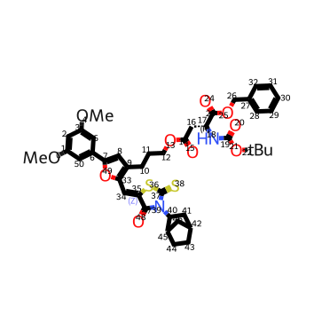 COc1cc(OC)cc(-c2cc(CCCOC(=O)C[C@@H](NC(=O)OC(C)(C)C)C(=O)OCc3ccccc3)c(/C=C3\SC(=S)N(C4CC5CCC4C5)C3=O)o2)c1